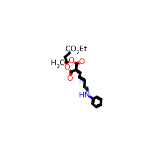 CCOC(=O)CCC1(C)OC(=O)C(=C/C=C/C=C/Nc2ccccc2)C(=O)O1